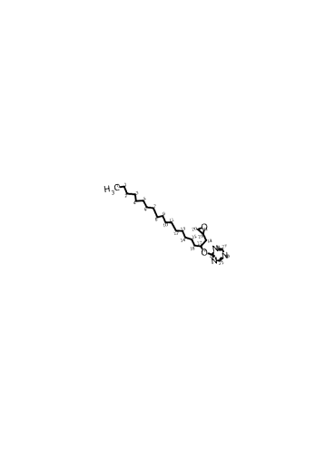 CCCCCCCCCCCCCCCCCC(CC1CO1)Oc1ncncn1